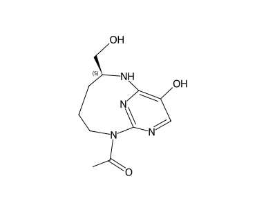 CC(=O)N1CCC[C@@H](CO)Nc2nc1ncc2O